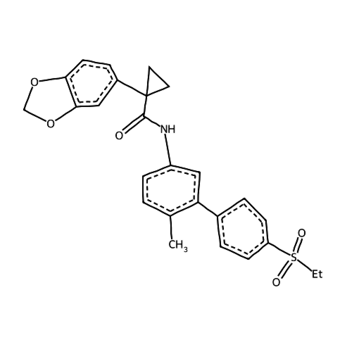 CCS(=O)(=O)c1ccc(-c2cc(NC(=O)C3(c4ccc5c(c4)OCO5)CC3)ccc2C)cc1